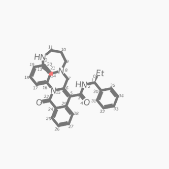 CC[C@H](NC(=O)c1c(CN2CCCNCC2)n(-c2ccccc2)c(=O)c2ccccc12)c1ccccc1